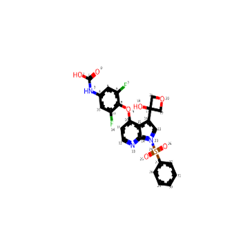 O=C(O)Nc1cc(F)c(Oc2ccnc3c2c(C2(O)COC2)cn3S(=O)(=O)c2ccccc2)c(F)c1